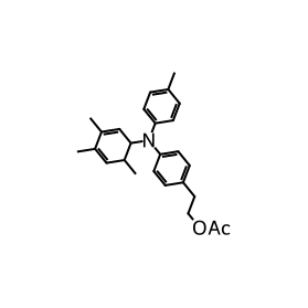 CC(=O)OCCc1ccc(N(c2ccc(C)cc2)C2C=C(C)C(C)=CC2C)cc1